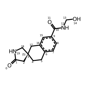 O=C1C[C@@]2(CCc3ccc(C(=O)NCO)cc3C2)CN1